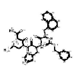 CC(C)CC(NC(=O)[C@H](Cc1c[nH]cn1)NC(=O)[C@@H](Cc1cccc2ccccc12)NC(=O)OCc1ccccc1)C(O)CC(=O)O